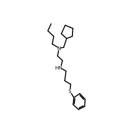 CCCCN(CCNCCCSc1ccccc1)CC1CCCC1